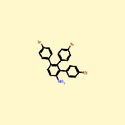 Nc1ccc(-c2ccc(Br)cc2)c(-c2ccc(Br)cc2)c1-c1ccc(Br)cc1